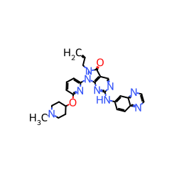 C=CCn1c(=O)c2cnc(Nc3ccc4nccnc4c3)nc2n1-c1cccc(OC2CCN(C)CC2)n1